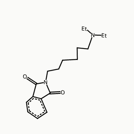 CCN(CC)CCCCCCN1C(=O)c2ccccc2C1=O